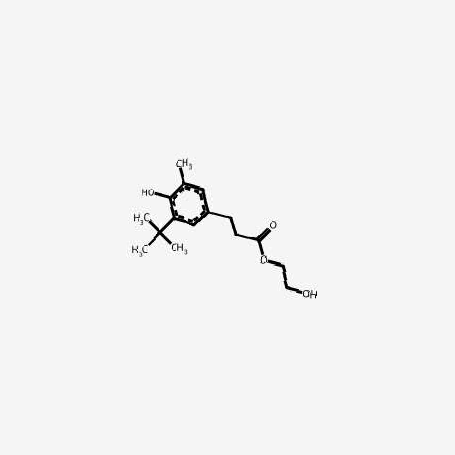 Cc1cc(CCC(=O)OCCO)cc(C(C)(C)C)c1O